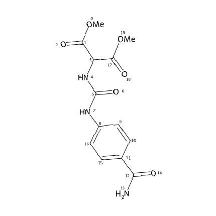 COC(=O)C(NC(=O)Nc1ccc(C(N)=O)cc1)C(=O)OC